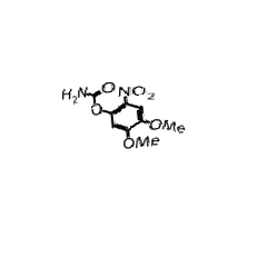 COc1cc(OC(N)=O)c([N+](=O)[O-])cc1OC